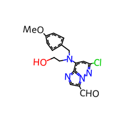 COc1ccc(CN(CCO)c2cc(Cl)nn3c(C=O)cnc23)cc1